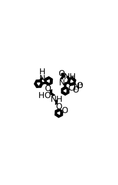 COc1ccccc1OCCNCC(O)COc1cccc2[nH]c3ccccc3c12.O=C1CN=C(c2ccccc2Cl)c2cc([N+](=O)[O-])ccc2N1